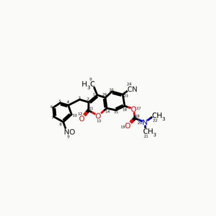 Cc1c(Cc2cccc(N=O)c2)c(=O)oc2cc(OC(=O)N(C)C)c(C#N)cc12